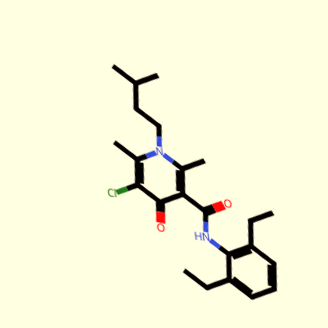 CCc1cccc(CC)c1NC(=O)c1c(C)n(CCC(C)C)c(C)c(Cl)c1=O